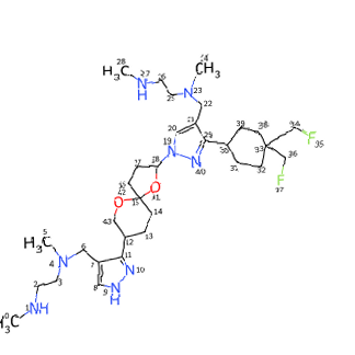 CNCCN(C)Cc1c[nH]nc1C1CCC2(CCC(n3cc(CN(C)CCNC)c(C4CCC(CF)(CF)CC4)n3)O2)OC1